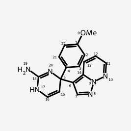 COc1ccc(C2(c3cnn4ncccc34)C=CNC(N)=N2)cc1